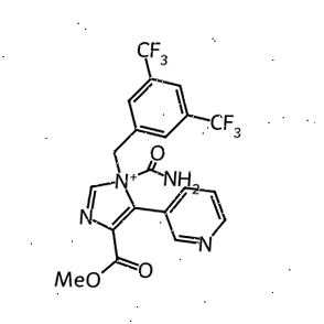 COC(=O)C1=C(c2cccnc2)[N+](Cc2cc(C(F)(F)F)cc(C(F)(F)F)c2)(C(N)=O)C=N1